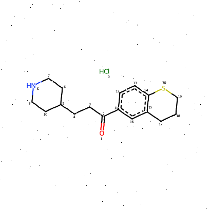 Cl.O=C(CCC1CCNCC1)c1ccc2c(c1)CCCS2